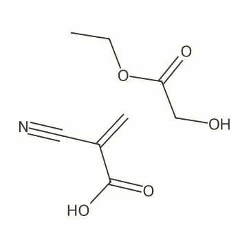 C=C(C#N)C(=O)O.CCOC(=O)CO